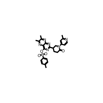 Cc1ccc(S(=O)(=O)Oc2nc(C3CCC(=O)N(c4ccnc(C)c4)C3)nc3nc(C)c(C)nc23)cc1